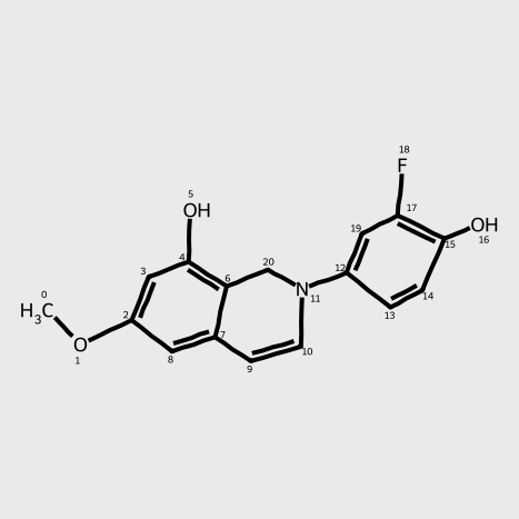 COc1cc(O)c2c(c1)C=CN(c1ccc(O)c(F)c1)C2